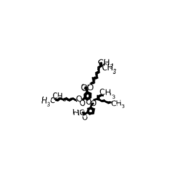 CC(C)CCCCCCCOC(=O)c1cccc(C(=O)OCCCCCCCC(C)C)c1.CCCCCC(CCC)COC(=O)c1cccc(C(=O)O)c1